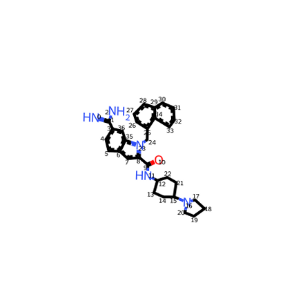 N=C(N)c1ccc2cc(C(=O)NC3CCC(N4CCCC4)CC3)n(Cc3cccc4ccccc34)c2c1